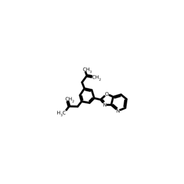 C=C(C)Cc1cc(CC(=C)C)cc(-c2nc3ncccc3o2)c1